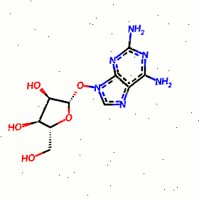 Nc1nc(N)c2ncn(O[C@@H]3O[C@H](CO)[C@@H](O)[C@H]3O)c2n1